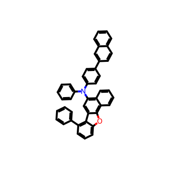 c1ccc(-c2cccc3oc4c5ccccc5c(N(c5ccccc5)c5ccc(-c6ccc7ccccc7c6)cc5)cc4c23)cc1